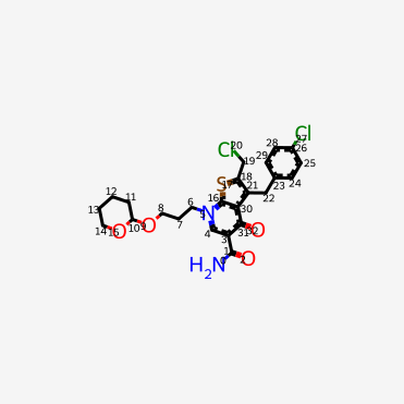 NC(=O)c1cn(CCCOC2CCCCO2)c2sc(CCl)c(Cc3ccc(Cl)cc3)c2c1=O